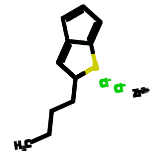 CCCCC1C=C2C=CC=C2S1.[Cl-].[Cl-].[Zr+2]